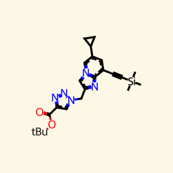 CC(C)(C)OC(=O)c1cn(Cc2cn3cc(C4CC4)cc(C#C[Si](C)(C)C)c3n2)nn1